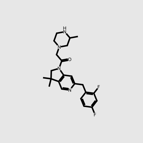 CC1CN(CC(=O)N2CC(C)(C)c3cnc(Cc4ccc(F)cc4F)cc32)CCN1